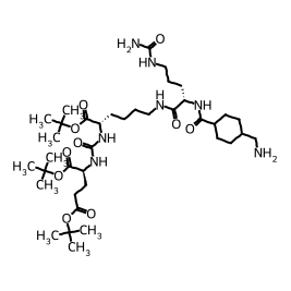 CC(C)(C)OC(=O)CC[C@H](NC(=O)N[C@@H](CCCCNC(=O)[C@H](CCCNC(N)=O)NC(=O)C1CCC(CN)CC1)C(=O)OC(C)(C)C)C(=O)OC(C)(C)C